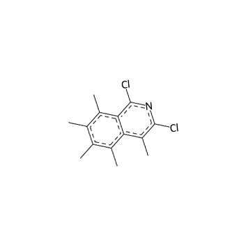 Cc1c(C)c(C)c2c(C)c(Cl)nc(Cl)c2c1C